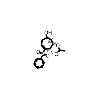 CC(=O)O[C@H]1[C@@H](C)[C@H](O)CC=C(S(=O)(=O)c2ccccc2)[C@H]1C